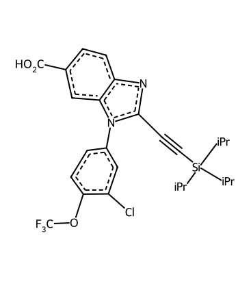 CC(C)[Si](C#Cc1nc2ccc(C(=O)O)cc2n1-c1ccc(OC(F)(F)F)c(Cl)c1)(C(C)C)C(C)C